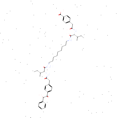 CCC(C)[C@H](NC(=O)Cc1ccc(C(=O)O)cc1)C(=O)NCCCCCCCCCNC(=O)[C@@H](NC(=O)Cc1ccc(C(=O)C(O)c2ccccc2)cc1)C(C)CC